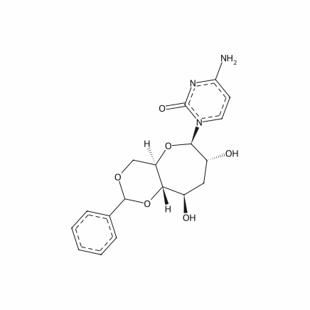 Nc1ccn([C@@H]2O[C@@H]3COC(c4ccccc4)O[C@H]3[C@H](O)C[C@H]2O)c(=O)n1